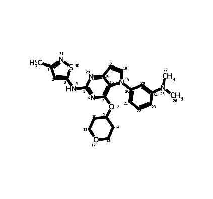 Cc1cc(Nc2nc(OC3CCOCC3)c3c(ccn3-c3cccc(N(C)C)c3)n2)sn1